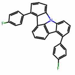 Fc1ccc(-c2cccc3c2c2cccc4c5c(-c6ccc(F)cc6)cccc5n3c24)cc1